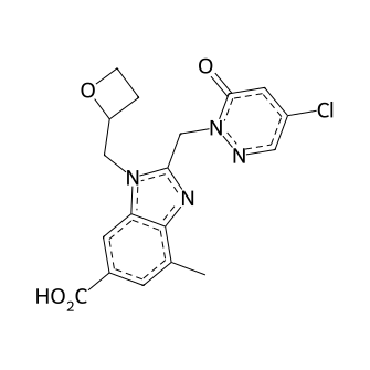 Cc1cc(C(=O)O)cc2c1nc(Cn1ncc(Cl)cc1=O)n2CC1CCO1